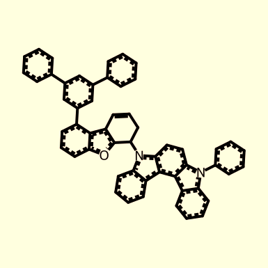 C1=Cc2c(oc3cccc(-c4cc(-c5ccccc5)cc(-c5ccccc5)c4)c23)C(n2c3ccccc3c3c4c5ccccc5n(-c5ccccc5)c4ccc32)C1